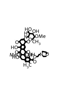 CO[C@H]1[C@H](C)OC(NC2=CC(=O)c3c(cc4c(c3O)C(=O)[C@]3(OC)[C@H](O)Cc5cc(C)c(C(=O)OCCN6CCOCC6)c(O)c5[C@]3(O)C4=O)C2=O)C(CO)[C@@H]1O